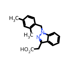 Cc1ccc(Cn2nc(CC(=O)O)c3ccccc32)c(C)c1